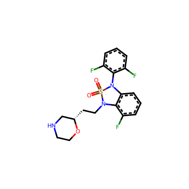 O=S1(=O)N(CC[C@H]2CNCCO2)c2c(F)cccc2N1c1c(F)cccc1F